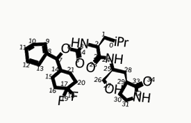 CC(C)C[C@H](NC(=O)OC(c1ccccc1)C1CCC(F)(F)CC1)C(=O)N[C@H](CO)C[C@@H]1CCNC1=O